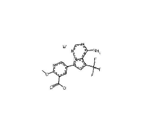 COc1ncc(-c2cc(C(F)(F)F)c3c(N)ncnn23)cc1C(=O)[O-].[Li+]